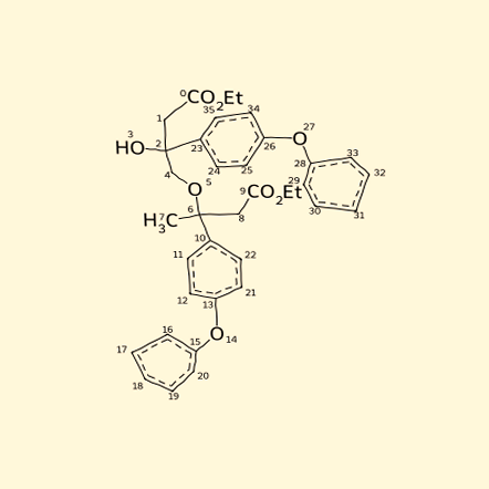 CCOC(=O)CC(O)(COC(C)(CC(=O)OCC)c1ccc(Oc2ccccc2)cc1)c1ccc(Oc2ccccc2)cc1